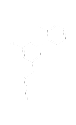 Cc1ccccc1-c1cc(Cl)cc(CN=[N+]=[N-])c1